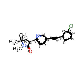 CN1C(=O)[C@H](c2ccc(C#Cc3cccc(Cl)c3)cn2)CC1(C)C